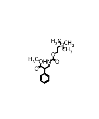 COC(=O)C(CNC(=O)OCC[Si](C)(C)C)c1ccccc1